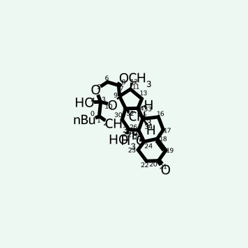 CCCCC(C)C1(O)OCC(=O)[C@@]2(O1)[C@@H](C)C[C@H]1[C@@H]3CCC4=CC(=O)CC[C@]4(C)[C@@]3(F)[C@@H](O)C[C@@]12C